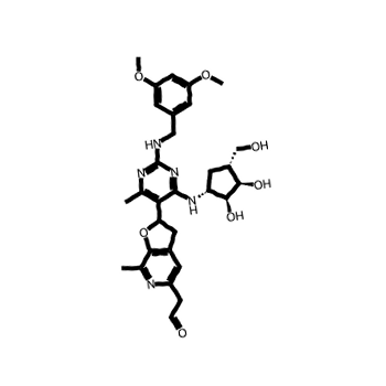 COc1cc(CNc2nc(C)c(C3Cc4cc(CC=O)nc(C)c4O3)c(N[C@@H]3C[C@H](CO)[C@@H](O)[C@H]3O)n2)cc(OC)c1